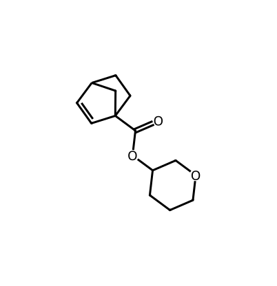 O=C(OC1CCCOC1)C12C=CC(CC1)C2